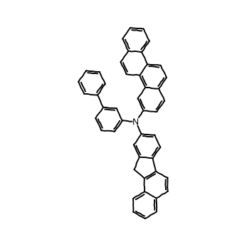 c1ccc(-c2cccc(N(c3ccc4c(c3)Cc3c-4ccc4ccccc34)c3ccc4ccc5c6ccccc6ccc5c4c3)c2)cc1